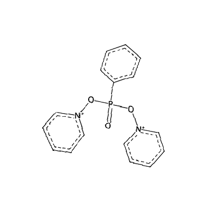 O=P(O[n+]1ccccc1)(O[n+]1ccccc1)c1ccccc1